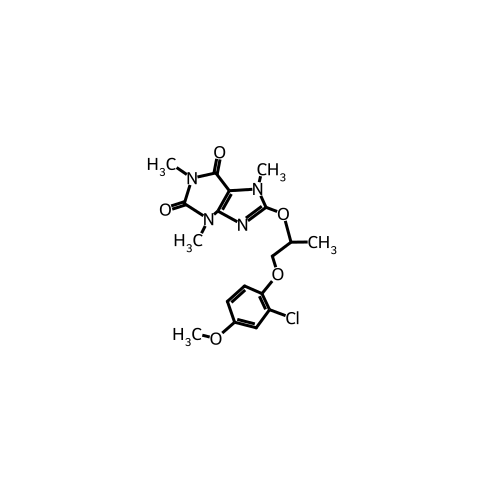 COc1ccc(OCC(C)Oc2nc3c(c(=O)n(C)c(=O)n3C)n2C)c(Cl)c1